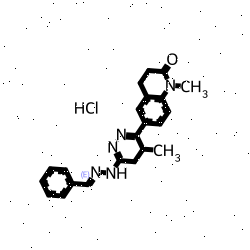 CC1CC(N/N=C/c2ccccc2)=NN=C1c1ccc2c(c1)CCC(=O)N2C.Cl